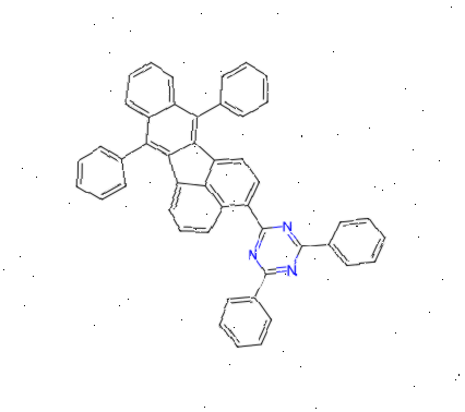 c1ccc(-c2nc(-c3ccccc3)nc(-c3ccc4c5c(cccc35)-c3c-4c(-c4ccccc4)c4ccccc4c3-c3ccccc3)n2)cc1